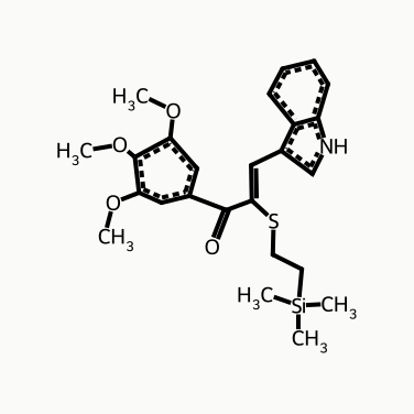 COc1cc(C(=O)C(=Cc2c[nH]c3ccccc23)SCC[Si](C)(C)C)cc(OC)c1OC